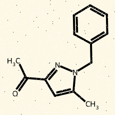 CC(=O)c1cc(C)n(Cc2ccccc2)n1